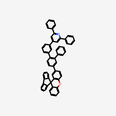 c1ccc(-c2cc(-c3cccc(-c4ccc(-c5ccc6c(c5)C5(c7ccccc7O6)c6ccccc6-c6ccccc65)cc4-c4ccccc4)c3)cc(-c3ccccc3)n2)cc1